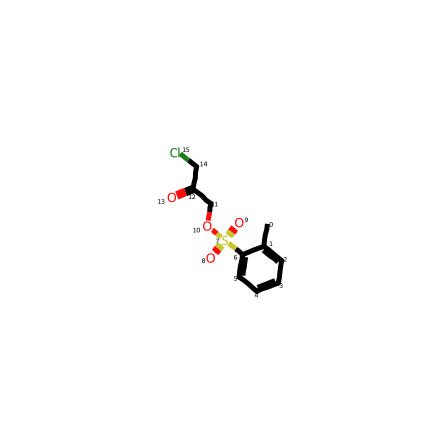 Cc1ccccc1S(=O)(=O)OCC(=O)CCl